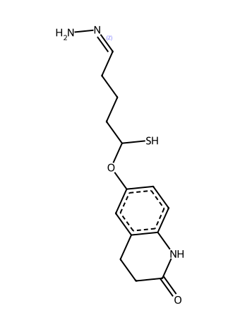 N/N=C\CCCC(S)Oc1ccc2c(c1)CCC(=O)N2